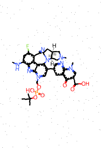 CNc1cc(F)c(C#N)c2c3c(N4CC[C@H]5CN(C)C[C@H]54)c(-c4cnc5c(c4)c(=O)c(C(=O)O)cn5C)cn(COP(=O)(O)OC(C)(C)C)c-3nc12